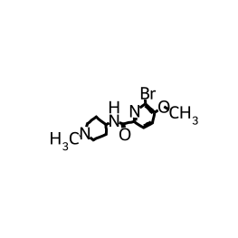 COc1ccc(C(=O)NC2CCN(C)CC2)nc1Br